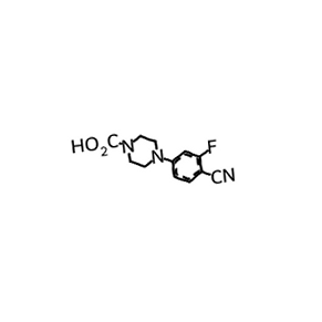 N#Cc1ccc(N2CCN(C(=O)O)CC2)cc1F